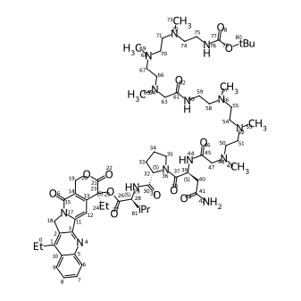 CCc1c2c(nc3ccccc13)-c1cc3c(c(=O)n1C2)COC(=O)[C@@]3(CC)OC(=O)[C@@H](NC(=O)[C@@H]1CCCN1C(=O)[C@H](CC(N)=O)NC(=O)CN(C)CCN(C)CCN(C)CCNC(=O)CN(C)CCN(C)CCN(C)CCNC(=O)OC(C)(C)C)C(C)C